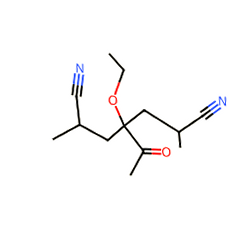 CCOC(CC(C)C#N)(CC(C)C#N)C(C)=O